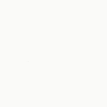 OCCOC1(OCCO)CC=c2ccccc2=C1c1cccc2ccccc12